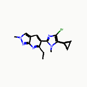 CCc1nc2nn(C)cc2cc1-c1nc(Br)c(C2CC2)n1C